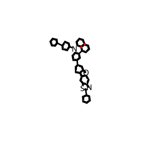 c1ccc(-c2ccc(N(c3ccccc3)c3ccc(-c4ccc5c(c4)oc4cc6nc(-c7ccccc7)sc6cc45)cc3-c3ccccc3)cc2)cc1